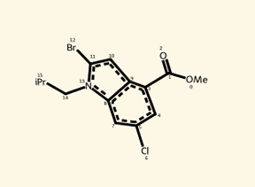 COC(=O)c1cc(Cl)cc2c1cc(Br)n2CC(C)C